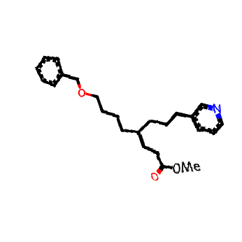 COC(=O)CCC(CCCCOCc1ccccc1)CCCc1cccnc1